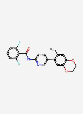 Cc1cc2c(cc1-c1ccc(NC(=O)c3c(F)cccc3F)nc1)OCCO2